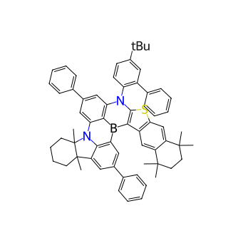 CC(C)(C)c1ccc(N2c3cc(-c4ccccc4)cc4c3B(c3cc(-c5ccccc5)cc5c3N4C3(C)CCCCC53C)c3c2sc2cc4c(cc32)C(C)(C)CCC4(C)C)c(-c2ccccc2)c1